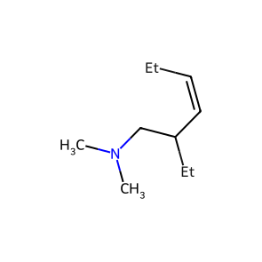 CC/C=C\C(CC)CN(C)C